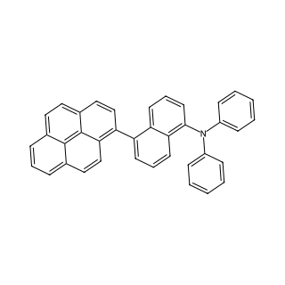 c1ccc(N(c2ccccc2)c2cccc3c(-c4ccc5ccc6cccc7ccc4c5c67)cccc23)cc1